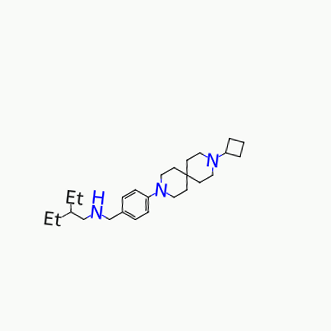 CCC(CC)CNCc1ccc(N2CCC3(CC2)CCN(C2CCC2)CC3)cc1